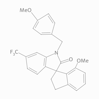 COc1ccc(CN2C(=O)C3(CCc4cccc(OC)c43)c3ccc(C(F)(F)F)cc32)cc1